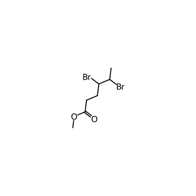 COC(=O)CCC(Br)C(C)Br